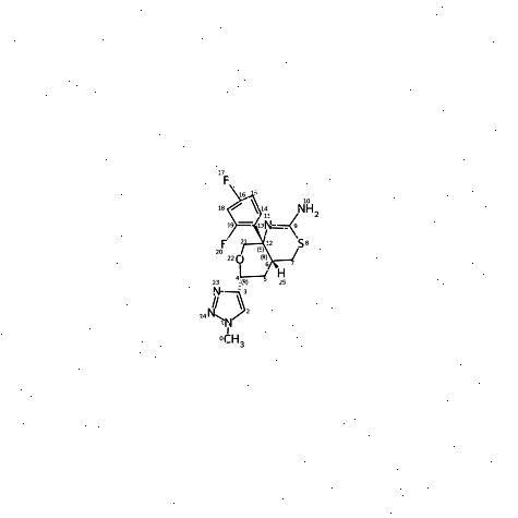 Cn1cc([C@H]2C[C@H]3CSC(N)=N[C@@]3(c3ccc(F)cc3F)CO2)nn1